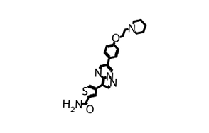 NC(=O)c1cc(-c2cnn3cc(-c4ccc(OCCN5CCCCC5)cc4)cnc23)cs1